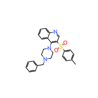 Cc1ccc(S(=O)(=O)c2cnc3ccccc3c2N2CCN(Cc3ccccc3)CC2)cc1